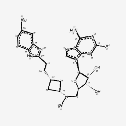 CC(C)N(C[C@H]1O[C@@H](n2cnc3c(N)nc(O)nc32)[C@H](O)[C@@H]1O)[C@H]1C[C@@H](CCc2nc3cc(C(C)(C)C)ccc3[nH]2)C1